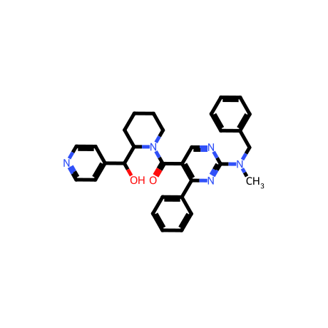 CN(Cc1ccccc1)c1ncc(C(=O)N2CCCCC2C(O)c2ccncc2)c(-c2ccccc2)n1